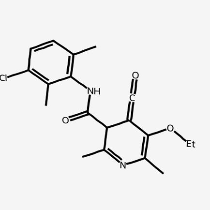 CCOC1=C(C)N=C(C)C(C(=O)Nc2c(C)ccc(Cl)c2C)C1=C=O